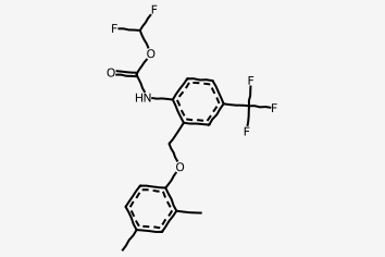 Cc1ccc(OCc2cc(C(F)(F)F)ccc2NC(=O)OC(F)F)c(C)c1